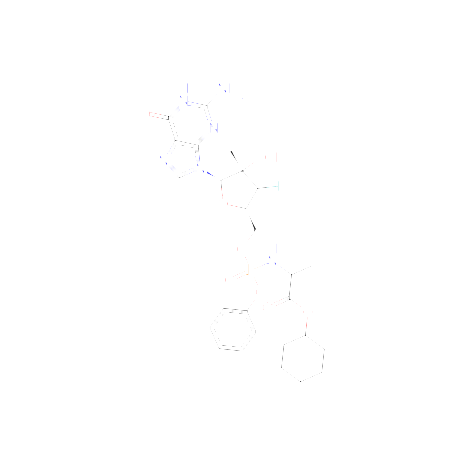 CC(NP(=O)(OC[C@H]1O[C@@H](n2cnc3c(=O)[nH]c(N)nc32)[C@](C)(O)C1F)Oc1ccccc1)C(=O)OC1CCCCC1